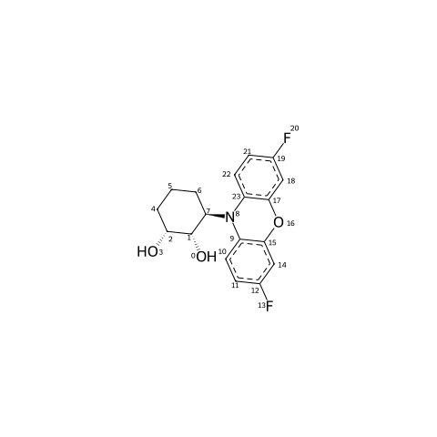 O[C@@H]1[C@H](O)CCC[C@H]1N1c2ccc(F)cc2Oc2cc(F)ccc21